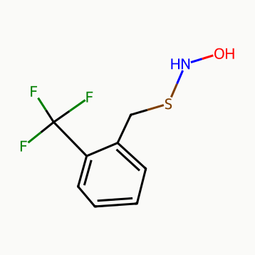 ONSCc1ccccc1C(F)(F)F